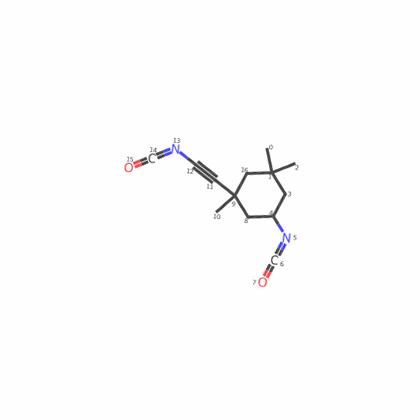 CC1(C)CC(N=C=O)CC(C)(C#CN=C=O)C1